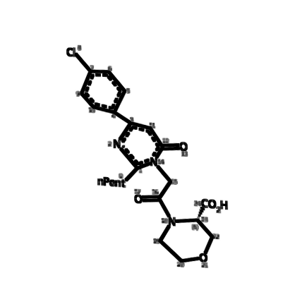 CCCCCc1nc(-c2ccc(Cl)cc2)cc(=O)n1CC(=O)N1CCOC[C@H]1C(=O)O